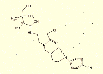 CC(C)(CO)[C@@H](O)C(O)NCCN(CC1CCN(c2ccc(C#N)cc2)CC1)C(=O)CCl